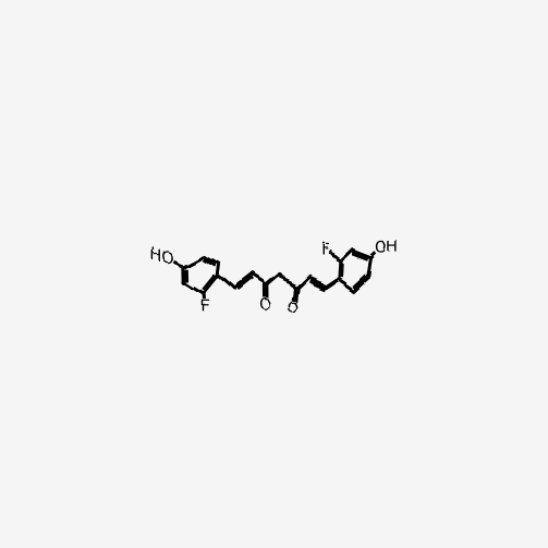 O=C(/C=C/c1ccc(O)cc1F)CC(=O)/C=C/c1ccc(O)cc1F